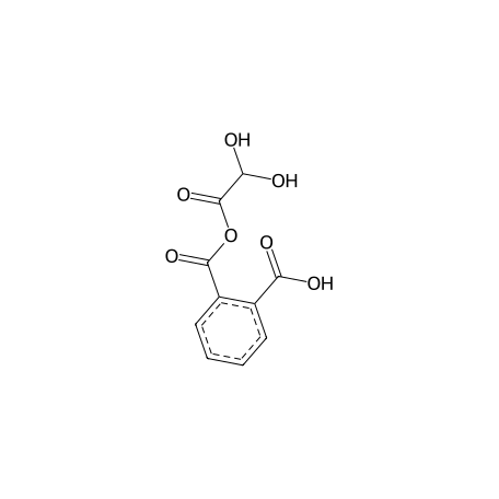 O=C(O)c1ccccc1C(=O)OC(=O)C(O)O